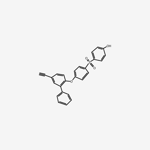 C#Cc1ccc(Oc2ccc(S(=O)(=O)c3ccc(O)cc3)cc2)c(-c2ccccc2)c1